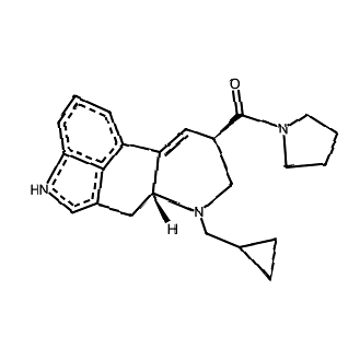 O=C([C@@H]1C=C2c3cccc4[nH]cc(c34)C[C@H]2N(CC2CC2)C1)N1CCCC1